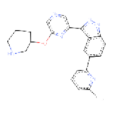 FC(F)(F)c1cccc(-c2ccc3[nH]nc(-c4cncc(OC5CCCNC5)n4)c3c2)n1